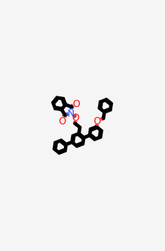 O=C1c2ccccc2C(=O)N1OCCc1cc(-c2ccccc2)ccc1-c1cccc(OCc2ccccc2)c1